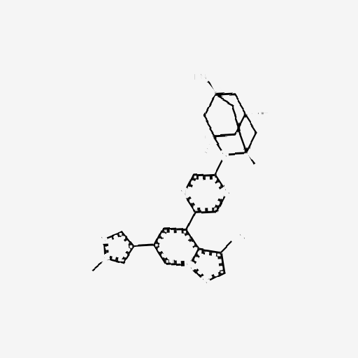 Cn1cc(-c2cc(-c3cnc(N4[C@@H]5C[C@@H]6C[C@H]4C[C@@](N)(C6)C5)cn3)c3c(C#N)cnn3c2)cn1